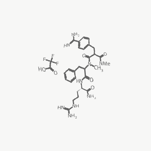 CNC(=O)C(Cc1ccc(C(=N)N)cc1)C(=O)N(C)C(Cc1ccccc1)C(=O)N[C@@H](CCCNC(=N)N)C(N)=O.O=C(O)C(F)(F)F